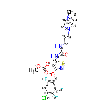 COC(=O)Oc1c(OCc2c(F)cc(Cl)c(F)c2F)nsc1NC(=O)NCCCN1CC2CC1CN2C